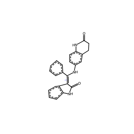 O=C1CCc2cc(N/C(=C3\C(=O)Nc4ccccc43)c3ccccc3)ccc2N1